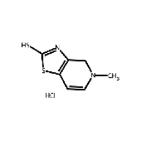 CN1C=Cc2sc(S)nc2C1.Cl